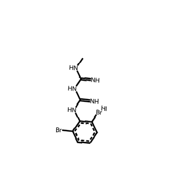 CNC(=N)NC(=N)Nc1c(Br)cccc1Br.I